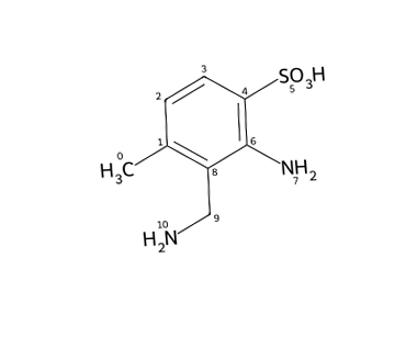 Cc1ccc(S(=O)(=O)O)c(N)c1CN